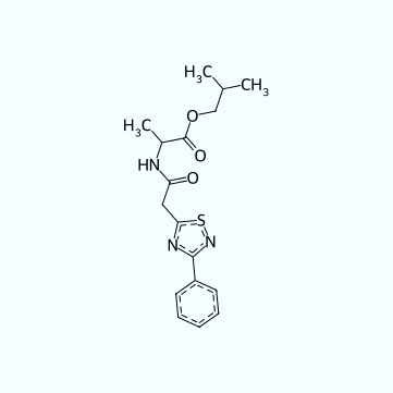 CC(C)COC(=O)C(C)NC(=O)Cc1nc(-c2ccccc2)ns1